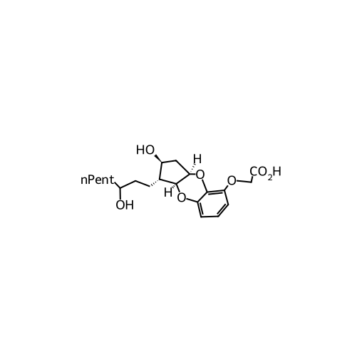 CCCCCC(O)CC[C@H]1[C@@H]2Oc3cccc(OCC(=O)O)c3O[C@@H]2C[C@@H]1O